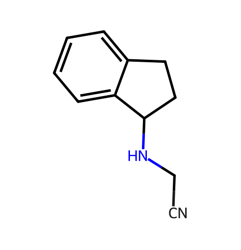 N#CCNC1CCc2ccccc21